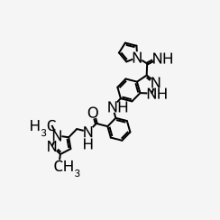 Cc1cc(CNC(=O)c2ccccc2Nc2ccc3c(C(=N)n4cccc4)n[nH]c3c2)n(C)n1